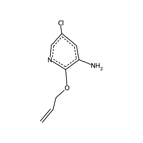 C=CCOc1ncc(Cl)cc1N